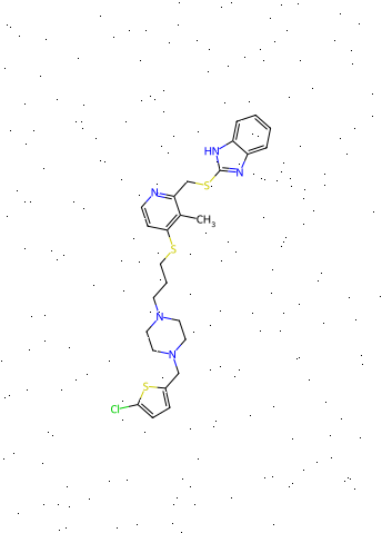 Cc1c(SCCCN2CCN(Cc3ccc(Cl)s3)CC2)ccnc1CSc1nc2ccccc2[nH]1